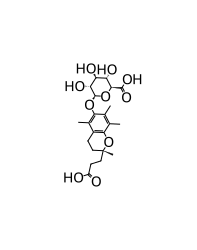 Cc1c(C)c2c(c(C)c1O[C@@H]1O[C@H](C(=O)O)[C@@H](O)[C@H](O)[C@H]1O)CC[C@@](C)(CCC(=O)O)O2